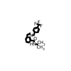 C=C(C)NC(=O)c1cccc2ccn(Cc3ccc(C(F)(F)F)cc3)c12